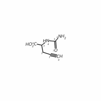 C#CCC(NC(N)=O)C(=O)O